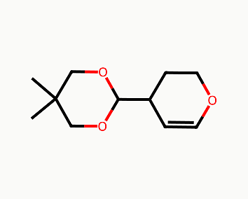 CC1(C)COC(C2C=COCC2)OC1